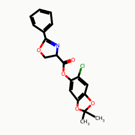 CC1(C)Oc2cc(Cl)c(OC(=O)C3COC(c4ccccc4)=N3)cc2O1